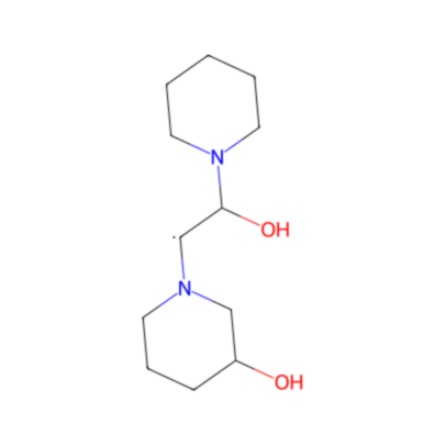 OC1CCCN([CH]C(O)N2CCCCC2)C1